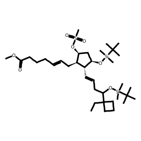 CCC1(C(CC=C[C@@H]2[C@@H](CC=CCCCC(=O)OC)[C@@H](OS(C)(=O)=O)C[C@H]2O[Si](C)(C)C(C)(C)C)O[Si](C)(C)C(C)(C)C)CCC1